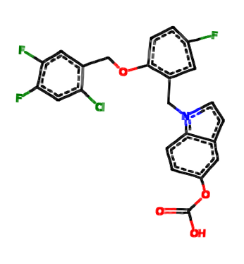 O=C(O)Oc1ccc2c(ccn2Cc2cc(F)ccc2OCc2cc(F)c(F)cc2Cl)c1